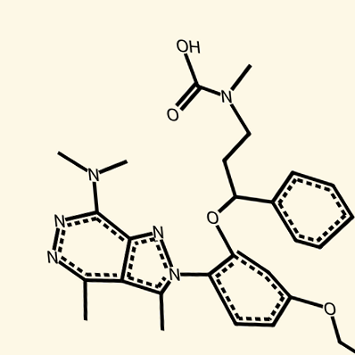 CCOc1ccc(-n2nc3c(N(C)C)nnc(C)c3c2C)c(OC(CCN(C)C(=O)O)c2ccccc2)c1